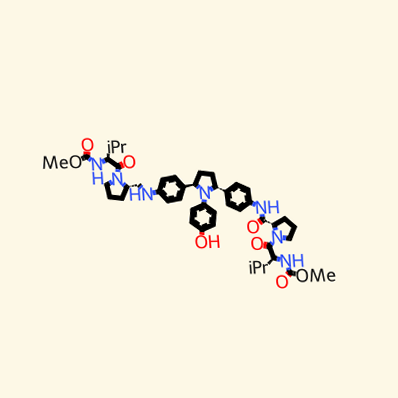 COC(=O)N[C@H](C(=O)N1CCC[C@H]1CNc1ccc([C@H]2CC[C@H](c3ccc(NC(=O)[C@@H]4CCCN4C(=O)[C@@H](NC(=O)OC)C(C)C)cc3)N2c2ccc(O)cc2)cc1)C(C)C